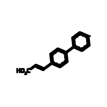 O=C(O)/C=C/c1ccc(-c2cc[c]cc2)cc1